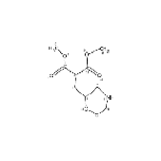 COC(=O)C(CC1CNCCO1)C(=O)OC